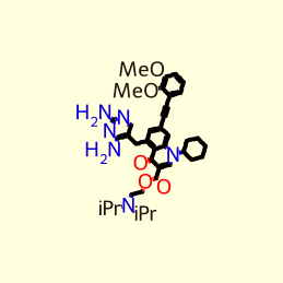 COc1cccc(C#Cc2cc(Cc3cnc(N)nc3N)c3c(=O)c(C(=O)OCCN(C(C)C)C(C)C)cn(C4CCCCC4)c3c2)c1OC